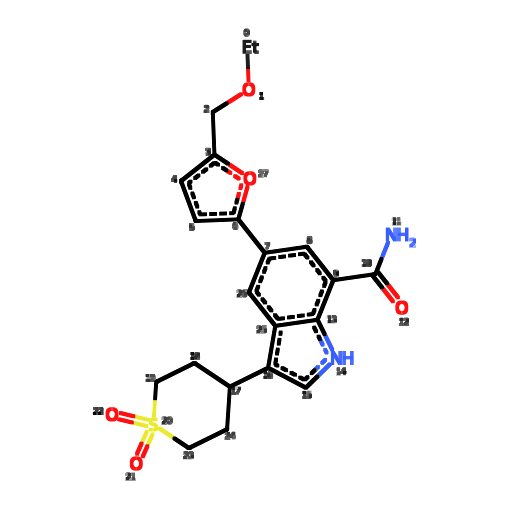 CCOCc1ccc(-c2cc(C(N)=O)c3[nH]cc(C4CCS(=O)(=O)CC4)c3c2)o1